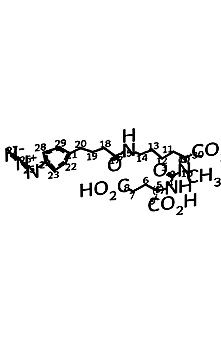 CN(C(=O)N[C@@H](CCC(=O)O)C(=O)O)[C@@H](CCCCNC(=O)CCCc1ccc(N=[N+]=[N-])cc1)C(=O)O